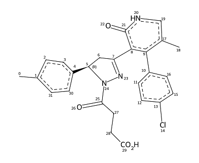 Cc1ccc([C@H]2CC(c3c(-c4ccc(Cl)cc4)c(C)c[nH]c3=O)=NN2C(=O)CCC(=O)O)cc1